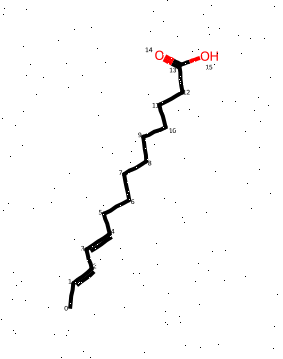 CC=CC=CCCCCCCCCC(=O)O